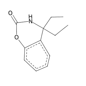 CCC1(CC)NC(=O)Oc2ccccc21